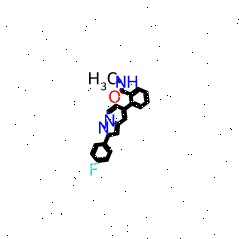 CNC(=O)c1ccccc1-c1ccn2nc(-c3ccc(F)cc3)cc2c1